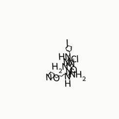 N/C(=N\C(=O)c1nc(Cl)c(NCc2ccc(I)cc2)nc1N)NCCCOc1cccnc1